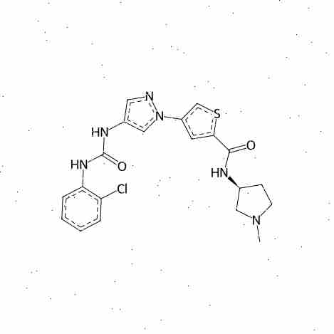 CN1CC[C@H](NC(=O)c2cc(-n3cc(NC(=O)Nc4ccccc4Cl)cn3)cs2)C1